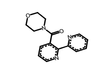 O=C(c1cccnc1-c1ccccn1)N1CCOCC1